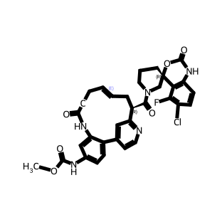 COC(=O)Nc1ccc2c(c1)NC(=O)CC/C=C/C[C@@H](C(=O)N1CCC[C@@]3(C1)OC(=O)Nc1ccc(Cl)c(F)c13)c1cc-2ccn1